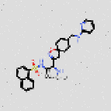 O=CNC(C1=NOC2(CCC(CNc3ccccn3)CC2)C1)[C@H](NS(=O)(=O)c1cccc2ccccc12)C(=O)O